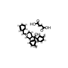 O=C(O)C=CC(=O)O.OC(c1cccc(F)c1)(c1cccc(F)c1)C1CCN(Cc2ccccc2)CC1